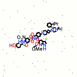 COCCOc1nc2[nH]cc(F)c2cc1Oc1cc(N2CCC3(CC2)CC(N2CCN(C(C)=O)C[C@@H]2c2ccccc2C(C)C)C3)ccc1C(=O)NS(=O)(=O)c1cc2c(c([N+](=O)[O-])c1)N[C@@H]([C@H]1CC[C@](C)(O)CC1)CO2